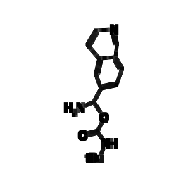 CC(C)(C)NC(=O)OC(N)c1ccc2cnccc2c1